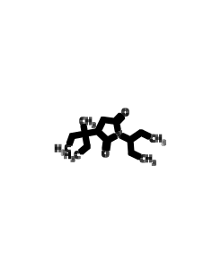 CCC(CC)N1C(=O)CC(C(C)(CC)CC)C1=O